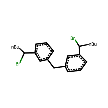 CCCCC(Br)c1cccc(Cc2cccc(C(Br)CCCC)c2)c1